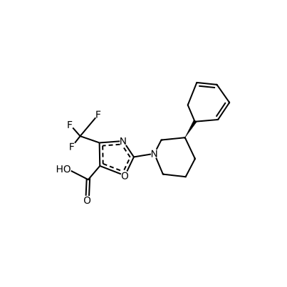 O=C(O)c1oc(N2CCC[C@H](C3C=CC=CC3)C2)nc1C(F)(F)F